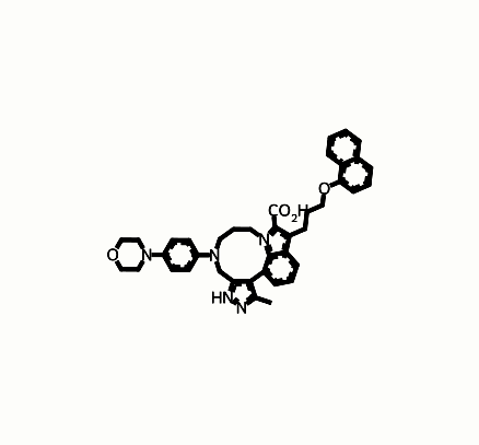 Cc1n[nH]c2c1-c1cccc3c(CCCOc4cccc5ccccc45)c(C(=O)O)n(c13)CCCN(c1ccc(N3CCOCC3)cc1)C2